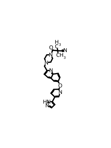 CC(C)(C#N)C(=O)N1CCN(Cc2ccc3cc(Oc4ccc(-c5ccn[nH]5)cn4)ccc3n2)CC1